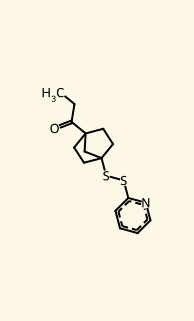 CCC(=O)C12CCC(SSc3ccccn3)(CC1)C2